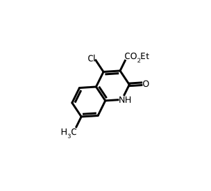 CCOC(=O)c1c(Cl)c2ccc(C)cc2[nH]c1=O